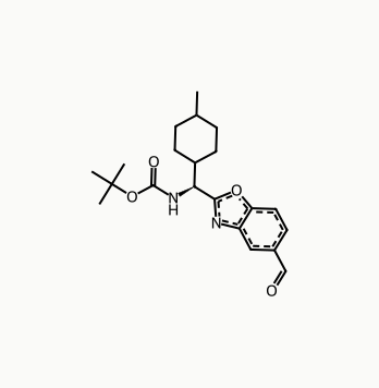 CC1CCC([C@H](NC(=O)OC(C)(C)C)c2nc3cc(C=O)ccc3o2)CC1